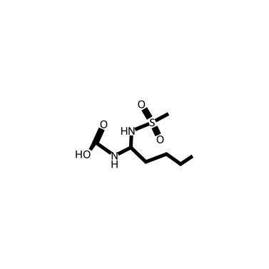 CCCCC(NC(=O)O)NS(C)(=O)=O